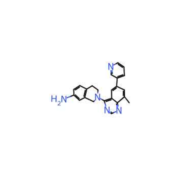 Cc1cc(-c2cccnc2)cc2c(N3CCc4ccc(N)cc4C3)ncnc12